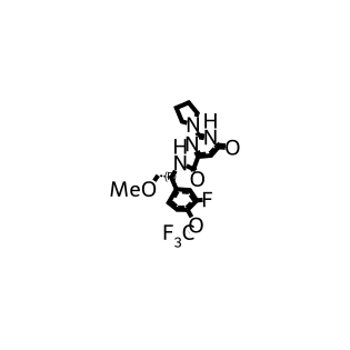 COC[C@H](NC(=O)c1cc(=O)[nH]c(N2CCCC2)n1)c1ccc(OC(F)(F)F)c(F)c1